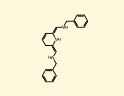 C1=C/C(=C/NCc2ccccc2)N/C(=C/NCc2ccccc2)C1